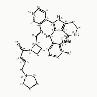 COc1c(Cl)cccc1Nc1c(-c2ccncc2OC[C@H]2CCN2C(=O)/C=C/CN2CCCC2)[nH]c2c1C(=O)NCC2